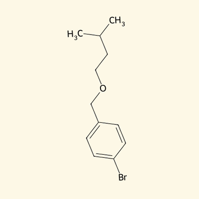 CC(C)CCOCc1ccc(Br)cc1